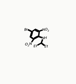 CCC(CC)Nc1c([N+](=O)[O-])cc(Br)cc1[N+](=O)[O-]